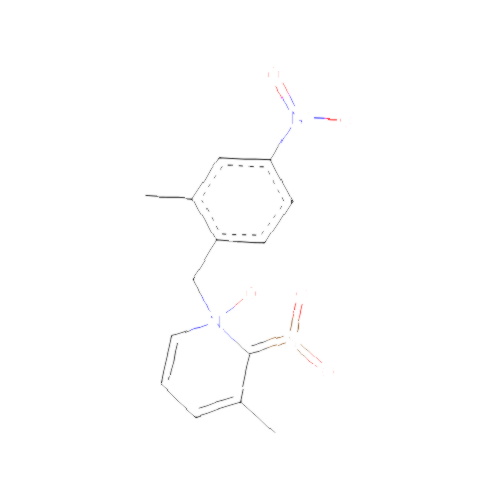 CC1=CC=C[N+]([O-])(Cc2ccc([N+](=O)[O-])cc2C)C1=S(=O)=O